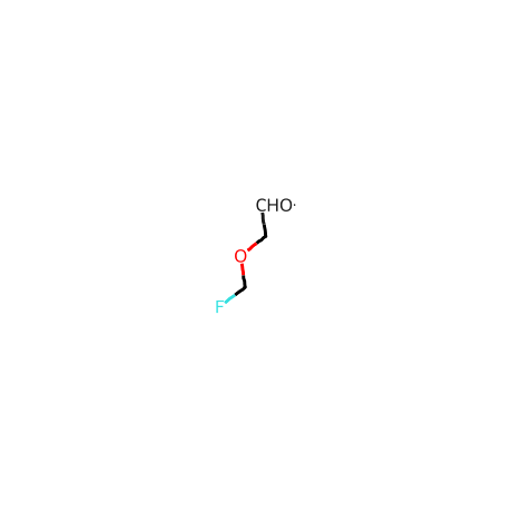 O=[C]COCF